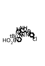 CC(C)(C)[C@@H]1C(n2nc(C(=O)c3nc4cc(Cl)ccc4o3)c3c(N)ncnc32)CCCN1C(=O)O